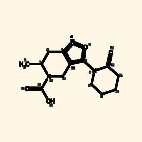 CC1Cc2noc(N3CCCCC3=O)c2CN1C(=O)O